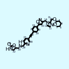 C[C@H](OC1CCCCO1)c1nccn1Cc1cc(-c2ccc(C#Cc3ccc(CNCC4CNC(=O)O4)nc3)cc2)on1